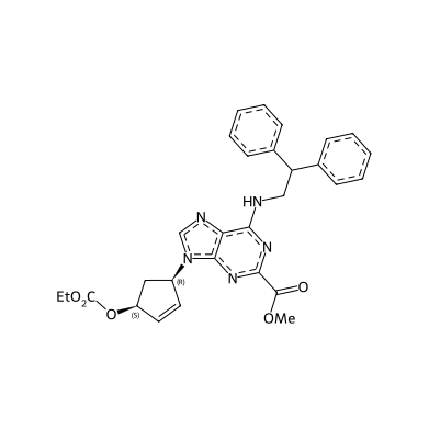 CCOC(=O)O[C@@H]1C=C[C@H](n2cnc3c(NCC(c4ccccc4)c4ccccc4)nc(C(=O)OC)nc32)C1